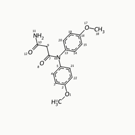 COc1ccc(N(C(=O)CC(N)=O)c2ccc(OC)cc2)cc1